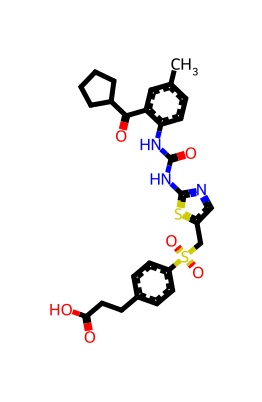 Cc1ccc(NC(=O)Nc2ncc(CS(=O)(=O)c3ccc(CCC(=O)O)cc3)s2)c(C(=O)C2CCCC2)c1